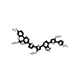 CCCCCCCCc1cc(-c2ccc(-c3cc(CCCCCCCC)c(-c4ccc(-c5ccc6c(c5)C(CCCCCCCC)(CCCCCCCC)Oc5cc(C)ccc5-6)s4)s3)c3nsnc23)sc1-c1ccc(C)s1